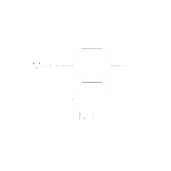 COc1ccc(F)c(Cl)c1[C@@H](C)N